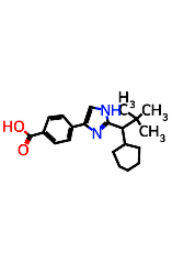 CC(C)(C)C(c1nc(-c2ccc(C(=O)O)cc2)c[nH]1)C1CCCCC1